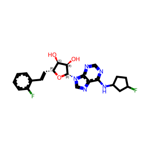 O[C@@H]1[C@H](O)[C@@H](C=Cc2ccccc2F)O[C@H]1n1cnc2c(NC3CCC(F)C3)ncnc21